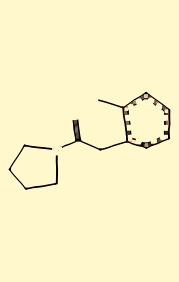 O=C(Cc1ccccc1Br)N1CCCC1